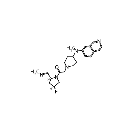 CN=C[C@@H]1C[C@H](F)CN1C(=O)CN1CCC(N(C)c2ccc3ccncc3c2)CC1